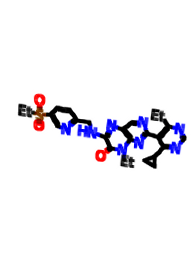 CCc1ncnc(C2CC2)c1-c1ncc2nc(NCc3ccc(S(=O)(=O)CC)cn3)c(=O)n(CC)c2n1